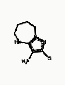 Nc1c(Cl)nn2c1NCCCC2